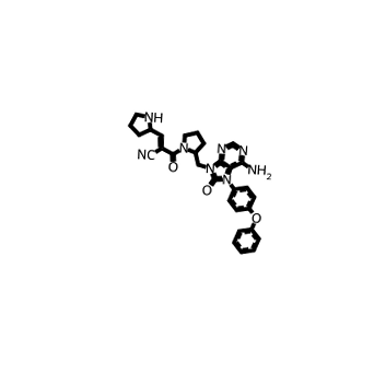 N#CC(=CC1CCCN1)C(=O)N1CCCC1Cn1c(=O)n(-c2ccc(Oc3ccccc3)cc2)c2c(N)ncnc21